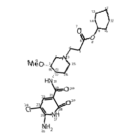 CO[C@@H]1CN(CCC(=O)OC2CCCCC2)CC[C@@H]1NC(=O)c1cc(Cl)c(N)[nH]c1=O